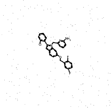 Nc1cccc(Cn2c(-c3ccccc3Cl)cc3ccc(OCc4cc(F)ccc4F)cc32)n1